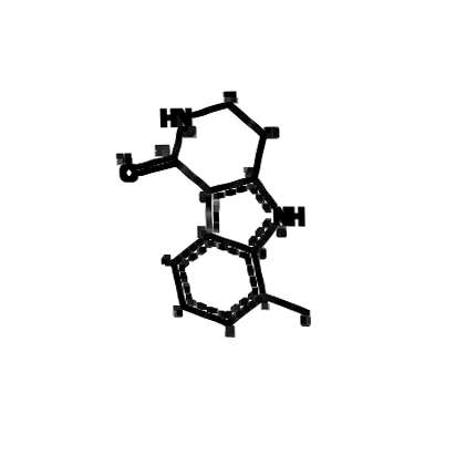 Cc1cccc2c3c([nH]c12)CCNC3=O